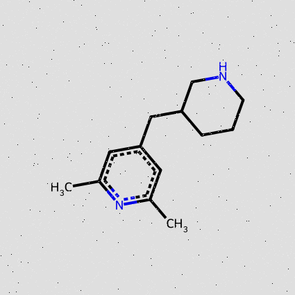 Cc1cc(CC2CCCNC2)cc(C)n1